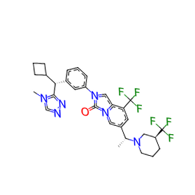 C[C@H](c1cc(C(F)(F)F)c2cn(-c3cccc([C@H](c4nncn4C)C4CCC4)c3)c(=O)n2c1)N1CCC[C@H](C(F)(F)F)C1